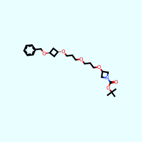 CC(C)(C)OC(=O)N1CC(OCCCOCCCO[C@H]2C[C@H](OCc3ccccc3)C2)C1